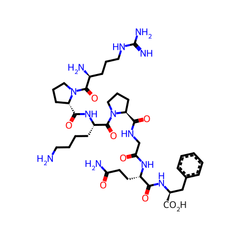 N=C(N)NCCC[C@H](N)C(=O)N1CCC[C@H]1C(=O)N[C@@H](CCCCN)C(=O)N1CCC[C@H]1C(=O)NCC(=O)N[C@@H](CCC(N)=O)C(=O)N[C@@H](Cc1ccccc1)C(=O)O